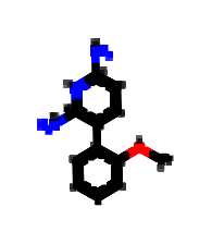 CC(C)Oc1ccccc1-c1ccc(N)nc1N